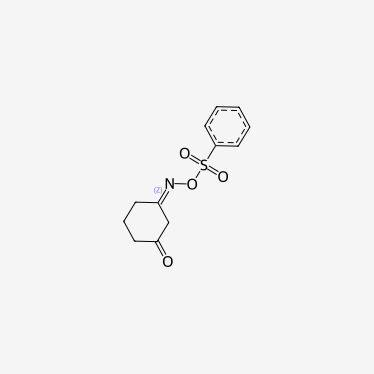 O=C1CCC/C(=N/OS(=O)(=O)c2ccccc2)C1